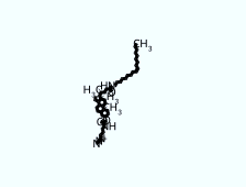 CCCCCCCC/C=C\CCCCCCCCNC(=O)CC[C@@H](C)[C@H]1CCC2C3CCC4C[C@H](OC(=O)NCCCN=[N+]=[N-])CC[C@]4(C)C3CC[C@@]21C